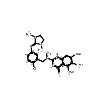 COc1cc2[nH]c(N(C)Cc3cc(N=C4N(C)CCN4C)ccc3Cl)nc(=O)c2c(OC)c1OC